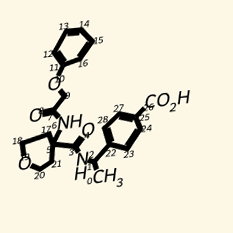 CC(NC(=O)C1(NC(=O)COc2ccccc2)CCOCC1)c1ccc(C(=O)O)cc1